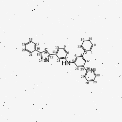 C1=CC(c2cc(Nc3cccc(-c4ncc(-c5ccccc5)s4)c3)cc(-c3ccccn3)c2)=CCC1